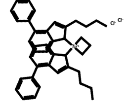 CCCCC1=Cc2c(-c3ccccc3)cccc2[CH]1[Ti+2]1([CH]2C(CCCC)=Cc3c(-c4ccccc4)cccc32)[CH2]C[CH2]1.[Cl-].[Cl-]